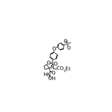 CCOC(=O)CN(C1(C(=O)NO)CCC1)S(=O)(=O)c1ccc(Oc2ccc(S(C)(=O)=O)cc2)cc1